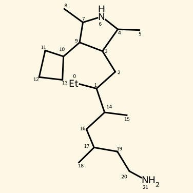 CCC(CC1C(C)NC(C)C1C1CCC1)C(C)CC(C)CCN